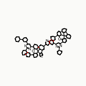 c1ccc(-c2cccc(-c3cc(-c4cccc5c4Oc4c(-c6ccncc6)cccc4C54c5ccccc5-c5cc(-c6ccc(-c7ccc(-c8cccc9c8Oc8c(-c%10cc(-c%11ccccc%11)nc(-c%11ccccc%11)n%10)cccc8C98c9ccccc9-c9ccccc98)cc7)nc6)ccc54)nc(-c4ccccc4)n3)c2)cc1